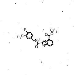 COC(=O)c1cccc2nc(C(=O)NCc3ccc(F)c(C)c3)cn12